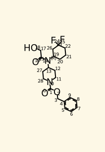 O=C(OCc1ccccc1)N1CCC(N(C(=O)CO)[C@@H]2CCCC(F)(F)C2)CC1